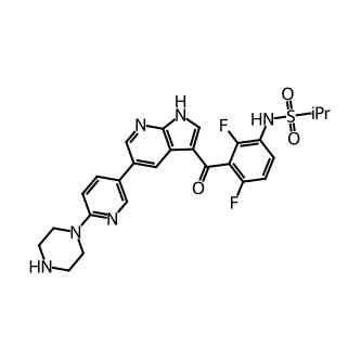 CC(C)S(=O)(=O)Nc1ccc(F)c(C(=O)c2c[nH]c3ncc(-c4ccc(N5CCNCC5)nc4)cc23)c1F